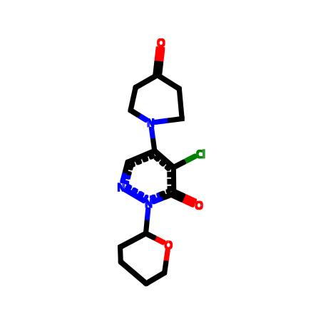 O=C1CCN(c2cnn(C3CCCCO3)c(=O)c2Cl)CC1